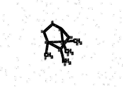 CC1(C)C2CCC1(C)C(N)C2